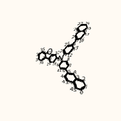 c1ccc2cc(-c3ccc(N(c4ccc(-c5ccc6ccccc6c5)cc4)c4ccc5c(c4)oc4ccccc45)cc3)ccc2c1